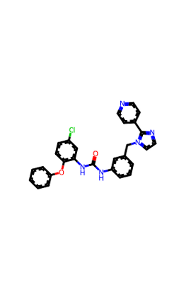 O=C(Nc1cccc(Cn2ccnc2-c2ccncc2)c1)Nc1cc(Cl)ccc1Oc1ccccc1